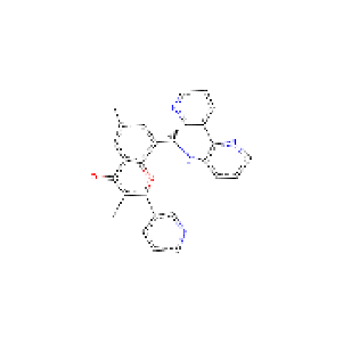 Cc1cc([C@@H](C)Nc2cccnc2-c2cccnc2)c2oc(-c3cccnc3)c(C)c(=O)c2c1